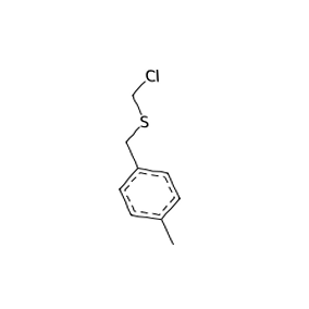 Cc1ccc(CSCCl)cc1